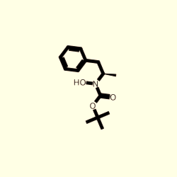 C[C@H](Cc1ccccc1)N(O)C(=O)OC(C)(C)C